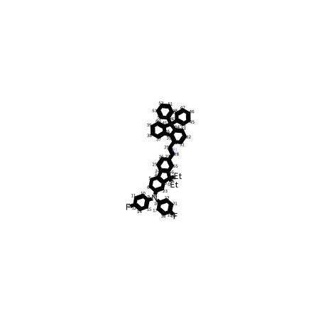 CCC1(CC)C2=C(CCC(N(c3ccc(F)cc3)c3ccc(F)cc3)=C2)c2ccc(/C=C/c3cccc4c3-c3ccccc3C4(c3ccccc3)c3ccccc3)cc21